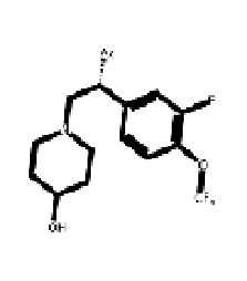 CC(=O)[C@@H](CN1CCC(O)CC1)c1ccc(OC(F)(F)F)c(F)c1